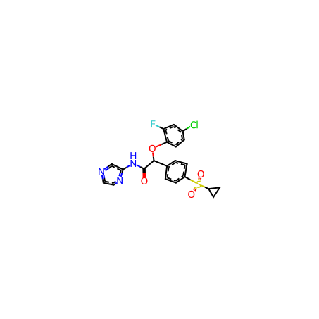 O=C(Nc1cnccn1)C(Oc1ccc(Cl)cc1F)c1ccc(S(=O)(=O)C2CC2)cc1